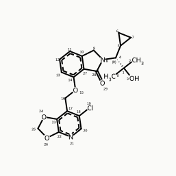 CC(C)(O)[C@@H](C1CC1)N1Cc2cccc(OCc3c(Cl)cnc4c3OCO4)c2C1=O